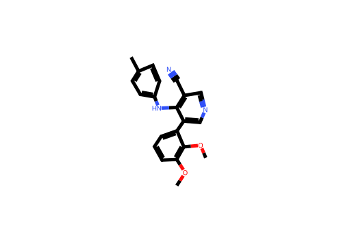 COc1cccc(-c2cncc(C#N)c2Nc2ccc(C)cc2)c1OC